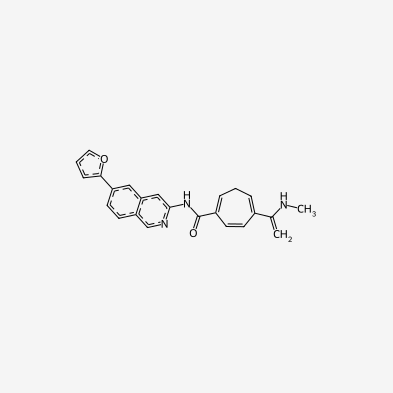 C=C(NC)C1=CCC=C(C(=O)Nc2cc3cc(-c4ccco4)ccc3cn2)C=C1